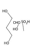 CS(=O)(=O)O.O=CO.OCCCO